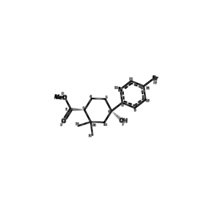 COC(=O)[C@@H]1CC[C@@](O)(c2ccc(Br)cn2)CC1(C)C